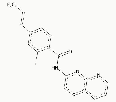 Cc1cc(C=CC(F)(F)F)ccc1C(=O)Nc1ccc2cccnc2n1